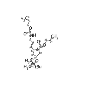 C=CCOC(=O)NCC=C[C@@H]1C[C@@H](O[Si](C)(C)C(C)(C)C)CN1C(=O)OCC=C